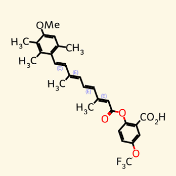 COc1cc(C)c(/C=C/C(C)=C/C=C/C(C)=C/C(=O)Oc2ccc(OC(F)(F)F)cc2C(=O)O)c(C)c1C